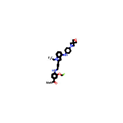 CNC(=O)c1ccc(NCC#Cc2cc3c(NC4CCC(N5CC6(COC6)C5)CC4)cccc3n2CC(F)(F)F)c(OCF)c1